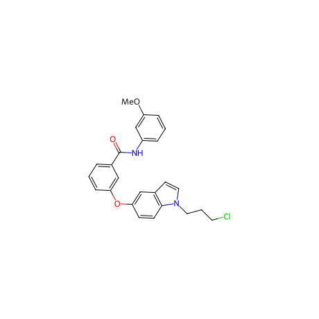 COc1cccc(NC(=O)c2cccc(Oc3ccc4c(ccn4CCCCl)c3)c2)c1